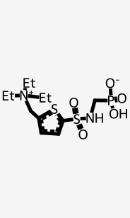 CC[N+](CC)(CC)Cc1ccc(S(=O)(=O)NCP(=O)([O-])O)s1